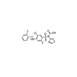 C[C@H](Nc1cc(F)c(S(=O)(=O)N(C(=O)O)c2cscn2)cc1Cl)c1ccccc1F